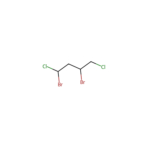 ClCC(Br)CC(Cl)Br